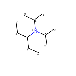 CCC(CC)N(C(C)C)C(C)C